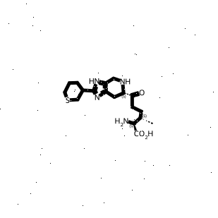 C[C@@H](CCC(=O)[C@@H]1Cc2nc(C3CCCSC3)[nH]c2CN1)[C@H](N)C(=O)O